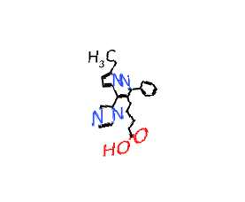 CCc1ccc2c(-c3cnccn3)c(CCCCC(=O)O)c(-c3ccccc3)nn12